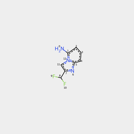 Nc1cccc2nc(C(F)F)cn12